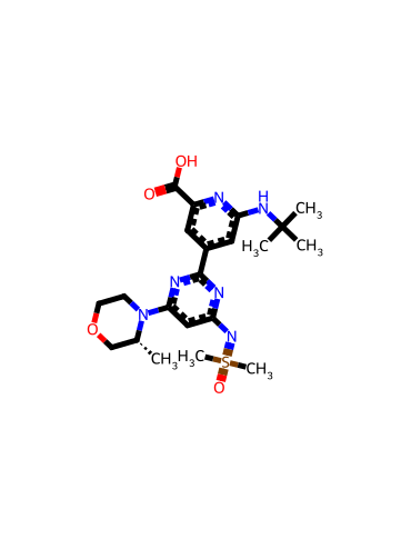 C[C@@H]1COCCN1c1cc(N=S(C)(C)=O)nc(-c2cc(NC(C)(C)C)nc(C(=O)O)c2)n1